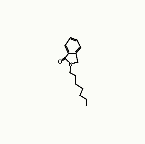 CCCCCCCN1Cc2ccccc2C1=O